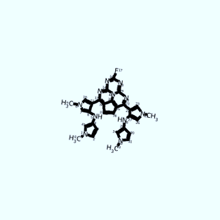 Cn1ccc(Nc2cn(C)cc2-c2nc3nc(F)nc4nc(-c5cn(C)cc5Nc5ccn(C)c5)c5ccc2c5n34)c1